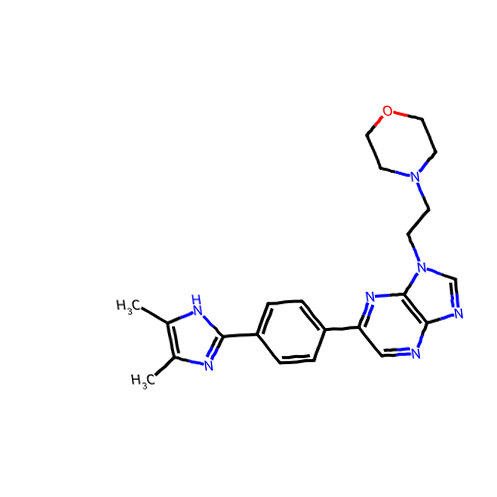 Cc1nc(-c2ccc(-c3cnc4ncn(CCN5CCOCC5)c4n3)cc2)[nH]c1C